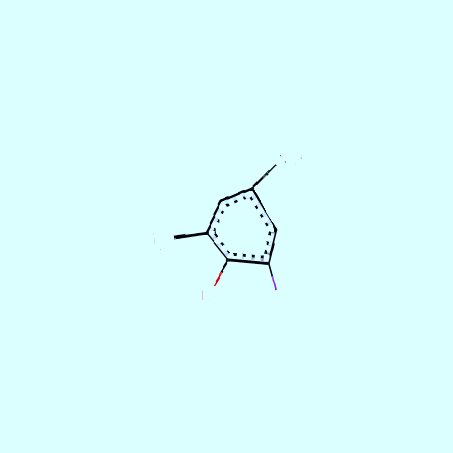 [CH2]c1cc([N+](=O)[O-])cc(I)c1O